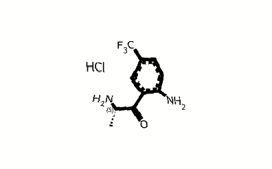 C[C@H](N)C(=O)c1cc(C(F)(F)F)ccc1N.Cl